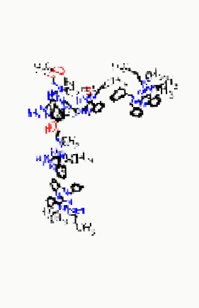 CC(=O)OCCN(C)c1nc2c(N)nc3ccccc3c2n1CC(C)C.CC(C)Cn1c(=O)[nH]c2c(N)nc3ccccc3c21.CC(C)Cn1c(N(C)CCO)nc2c(N)nc3ccccc3c21.CCCCN(C)c1nc2c(N(Cc3ccccc3)Cc3ccccc3)nc3ccccc3c2n1CC(C)C.CCCCNc1nc2c(N(Cc3ccccc3)Cc3ccccc3)nc3ccccc3c2n1CC(C)C